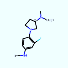 CC(C)Nc1ccc(N2CC[C@@H](N(C)C(=O)O)C2)c(F)c1